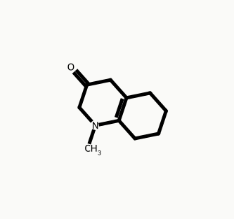 CN1CC(=O)CC2=C1CCCC2